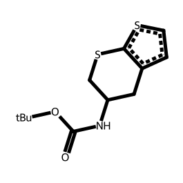 CC(C)(C)OC(=O)NC1CSc2sccc2C1